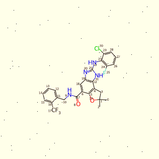 CC1(C)Cc2c(c(C(=O)NCc3ccccc3C(F)(F)F)cc3nc(Nc4c(F)cccc4Cl)[nH]c23)O1